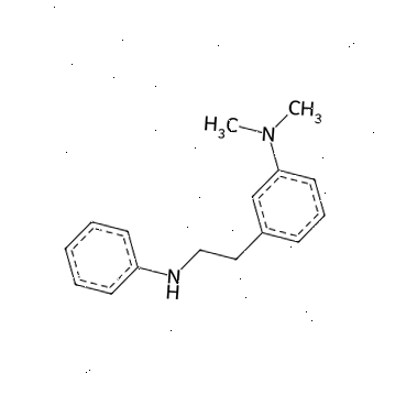 CN(C)c1cccc(CCNc2ccccc2)c1